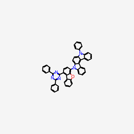 c1ccc(-c2nc(-c3ccccc3)nc(-c3ccc(-n4c5ccccc5c5c6c7ccccc7n(-c7ccccc7)c6ccc54)c4oc5ccccc5c34)n2)cc1